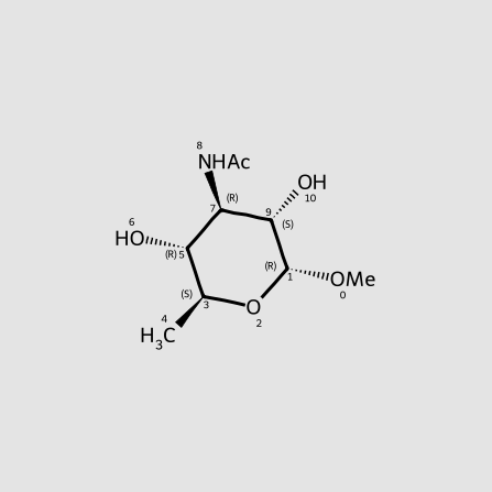 CO[C@@H]1O[C@@H](C)[C@H](O)[C@@H](NC(C)=O)[C@@H]1O